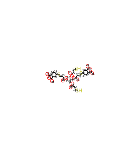 O=C(CCS)OCC(COC(=O)CCS)(COC(=O)CCSC1CCC2C(=O)OC(=O)C2C1)COC(=O)CCSC1CCC2C(=O)OC(=O)C2C1